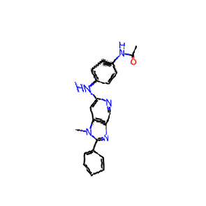 CC(=O)Nc1ccc(Nc2cc3c(cn2)nc(-c2ccccc2)n3C)cc1